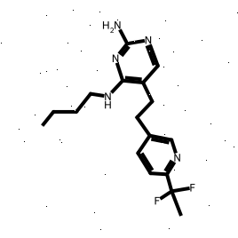 CCCCNc1nc(N)ncc1CCc1ccc(C(C)(F)F)nc1